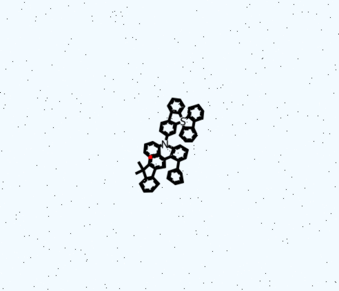 CC1(C)c2ccccc2-c2cc(-c3c(-c4ccccc4)cccc3N(c3ccccc3)c3ccc4c(c3)S3(c5ccccc5-c5ccccc53)c3ccccc3-4)ccc21